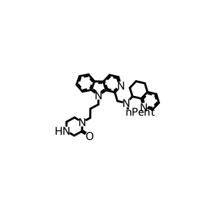 CCCCCN(Cc1nccc2c3ccccc3n(CCCN3CCNCC3=O)c12)C1CCCc2cccnc21